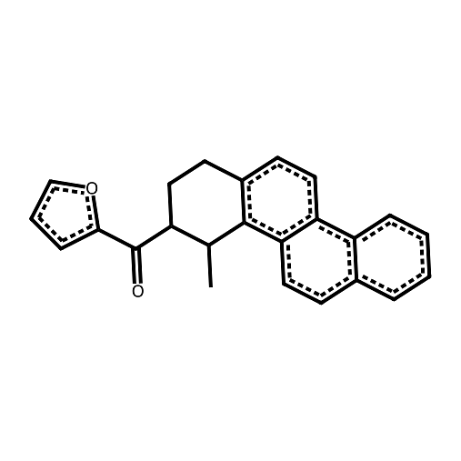 CC1c2c(ccc3c2ccc2ccccc23)CCC1C(=O)c1ccco1